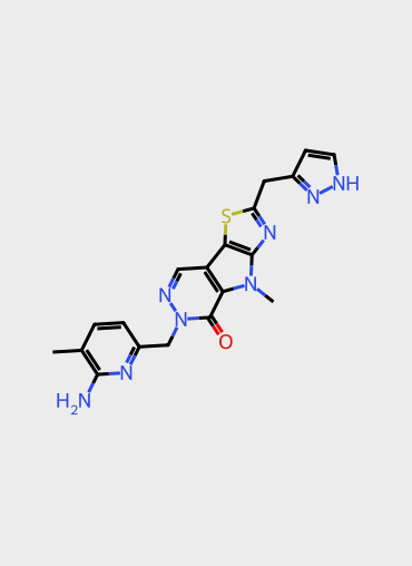 Cc1ccc(Cn2ncc3c4sc(Cc5cc[nH]n5)nc4n(C)c3c2=O)nc1N